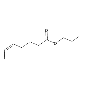 C/C=C\CCCC(=O)OCCC